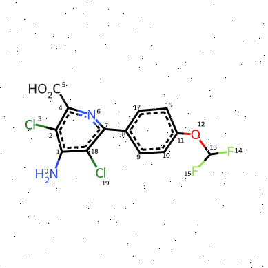 Nc1c(Cl)c(C(=O)O)nc(-c2ccc(OC(F)F)cc2)c1Cl